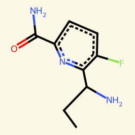 CCC(N)c1nc(C(N)=O)ccc1F